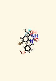 COc1ccc(CN2C(=O)NC(O)(C(C)(F)F)c3ccc(Br)cc32)cc1